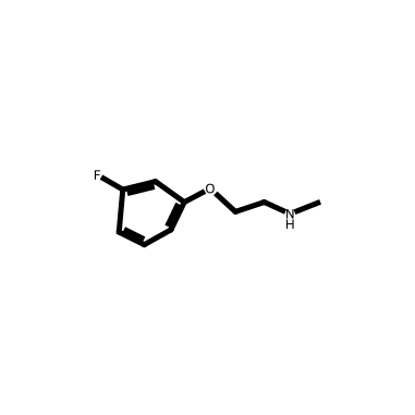 CNCCOc1cccc(F)c1